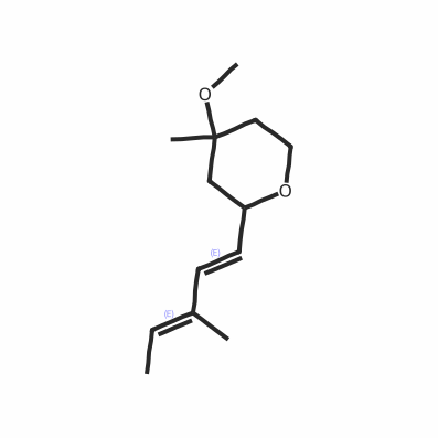 C/C=C(C)/C=C/C1CC(C)(OC)CCO1